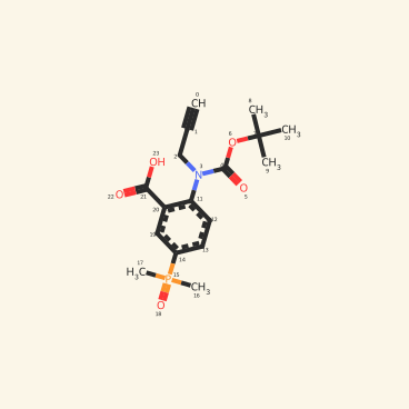 C#CCN(C(=O)OC(C)(C)C)c1ccc(P(C)(C)=O)cc1C(=O)O